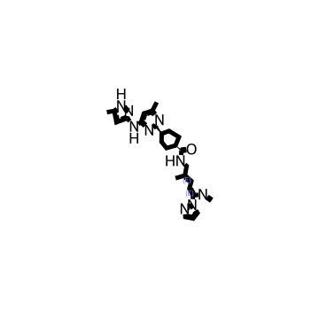 C=N/C(=C\C=C(/C)CNC(=O)[C@H]1CC[C@H](c2nc(C)cc(Nc3cc(C)[nH]n3)n2)CC1)n1cccn1